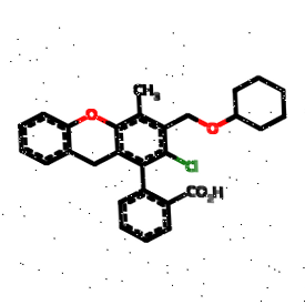 Cc1c(COC2CCCCC2)c(Cl)c(-c2ccccc2C(=O)O)c2c1Oc1ccccc1C2